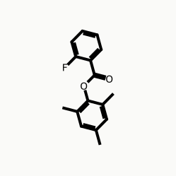 Cc1cc(C)c(OC(=O)c2ccccc2F)c(C)c1